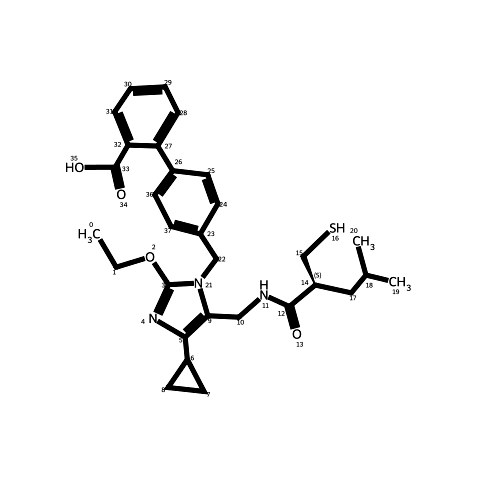 CCOc1nc(C2CC2)c(CNC(=O)[C@@H](CS)CC(C)C)n1Cc1ccc(-c2ccccc2C(=O)O)cc1